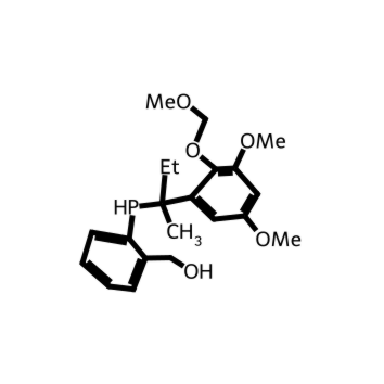 CCC(C)(Pc1ccccc1CO)c1cc(OC)cc(OC)c1OCOC